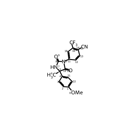 COc1ccc([C@]2(C)NC(=O)N(c3ccc(C#N)c(C(F)(F)F)c3)C2=O)cc1